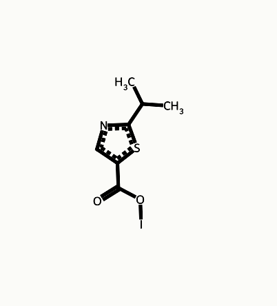 CC(C)c1ncc(C(=O)OI)s1